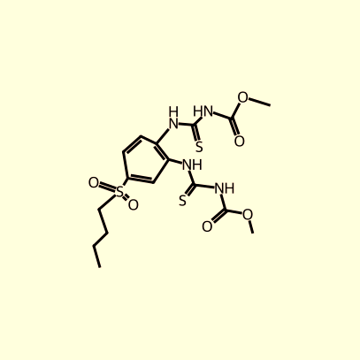 CCCCS(=O)(=O)c1ccc(NC(=S)NC(=O)OC)c(NC(=S)NC(=O)OC)c1